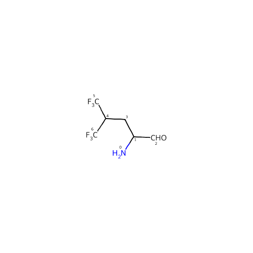 NC(C=O)CC(C(F)(F)F)C(F)(F)F